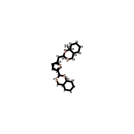 c1cc(C2SCC3CCCCC3S2)sc1CC1SCC2CCCC[C@@H]2S1